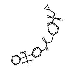 O=C(Cc1ccc(S(=O)(=O)CC2CC2)nc1)Nc1ccc(C(O)(c2ccccc2)C(F)(F)F)cc1